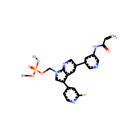 C=CC(=O)Nc1cncc(-c2cnc3c(c2)c(-c2ccnc(F)c2)cn3COP(=O)(OCC)OCC)c1